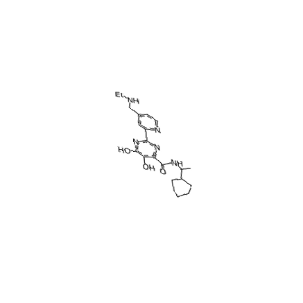 CCNCc1ccnc(-c2nc(O)c(O)c(C(=O)NC(C)C3CCCCC3)n2)c1